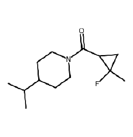 CC(C)C1CCN(C(=O)C2CC2(C)F)CC1